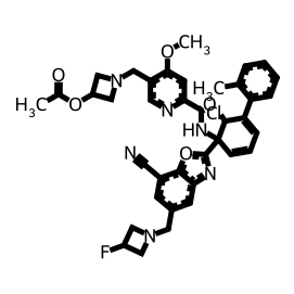 COc1cc(C(=O)NC2(c3nc4cc(CN5CC(F)C5)cc(C#N)c4o3)C=CC=C(c3ccccc3C)C2Cl)ncc1CN1CC(OC(C)=O)C1